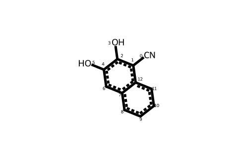 N#Cc1c(O)c(O)cc2ccccc12